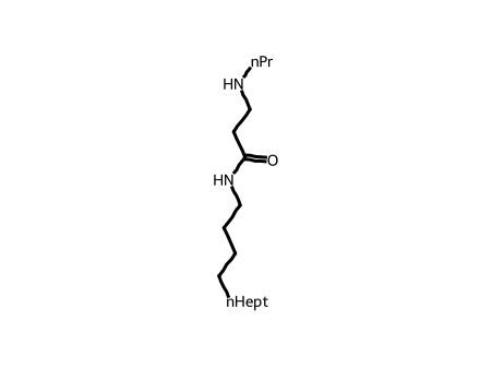 CCCCCCCCCCCNC(=O)CCNCCC